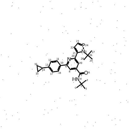 CC(C)(C)NC(=O)c1cc(-c2ccc(C3CC3)cc2)nc(-c2ccpn2C(C)(C)C)c1